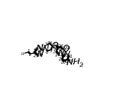 CCCc1cnc(N2CCC(Oc3ccn(-c4ccc(N)cn4)c(=O)c3)CC2)nc1